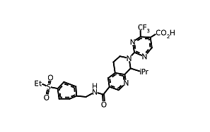 CCS(=O)(=O)c1ccc(CNC(=O)c2cnc3c(c2)CCN(c2ncc(C(=O)O)c(C(F)(F)F)n2)C3C(C)C)cc1